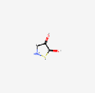 O=C1[CH]NSC1=O